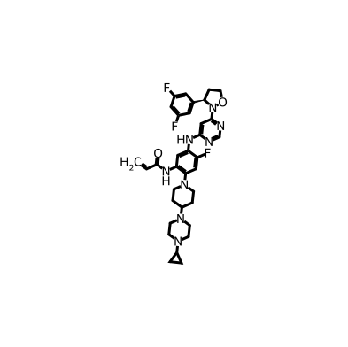 C=CC(=O)Nc1cc(Nc2cc(N3OCC[C@@H]3c3cc(F)cc(F)c3)ncn2)c(F)cc1N1CCC(N2CCN(C3CC3)CC2)CC1